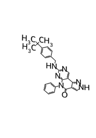 CC(C)(C)c1ccc(CNc2ncc3c4n[nH]cc4c(=O)n(-c4ccccc4)c3n2)cc1